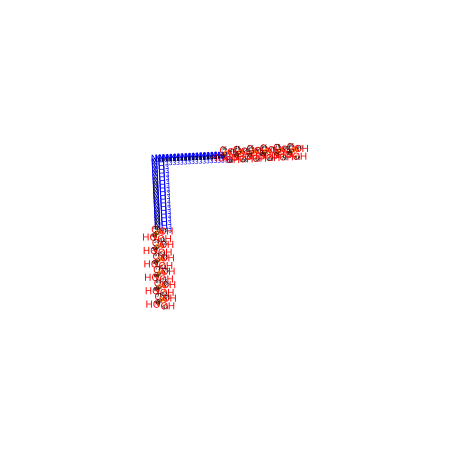 N.N.N.N.N.N.N.N.N.N.N.N.N.N.N.N.N.N.N.N.N.N.N.N.N.N.N.N.N.N.N.N.N.N.N.N.O=P(O)(O)O.O=P(O)(O)O.O=P(O)(O)O.O=P(O)(O)O.O=P(O)(O)O.O=P(O)(O)O.O=P(O)(O)O.O=P(O)(O)O.O=P(O)(O)O.O=P(O)(O)O.O=P(O)(O)O.O=P(O)(O)O